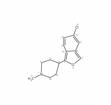 CN1CCC(c2occ3cc(Cl)ccc23)CC1